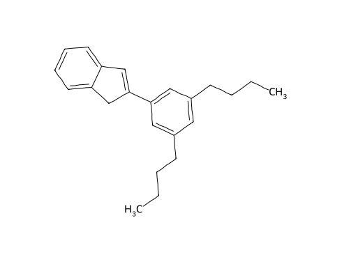 CCCCc1cc(CCCC)cc(C2=Cc3ccccc3C2)c1